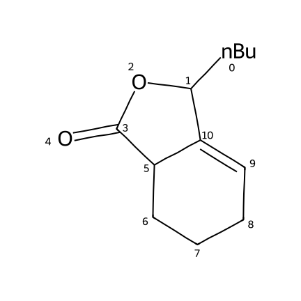 CCCCC1OC(=O)C2CCCC=C12